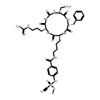 C#CP(=O)(Nc1ccc(C(=O)NCCCC[C@@H]2NC(=O)[C@@H](Cc3ccccc3)NC(=O)[C@H](CC(=O)O)NC(=O)NC(=O)[C@H](CCCNC(=N)N)NC2=O)cc1)OCC